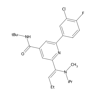 CC/C=C(/c1cc(C(=O)NC(C)(C)C)cc(-c2ccc(F)c(Cl)c2)n1)N(C)C(C)C